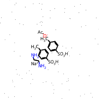 CC(=O)[O-].Cc1ccc(S(=O)(=O)O)cc1.Cc1ccc(S(=O)(=O)O)cc1.NCCN.[Na+]